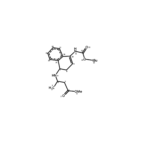 COC(=O)CC(C)NC1CC=C(NC(=O)OC(C)(C)C)c2ccccc21